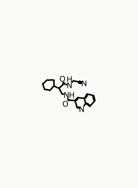 N#CCNC(=O)C(CNC(=O)c1cnc2ccccc2c1)C1CCCCC1